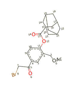 CC(=O)OCc1cc(C(=O)CBr)ccc1OC(=O)C12CC3CC(CC(C3)C1)C2